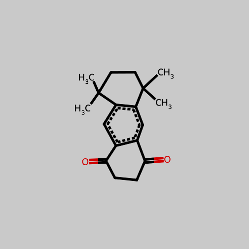 CC1(C)CCC(C)(C)c2cc3c(cc21)C(=O)CCC3=O